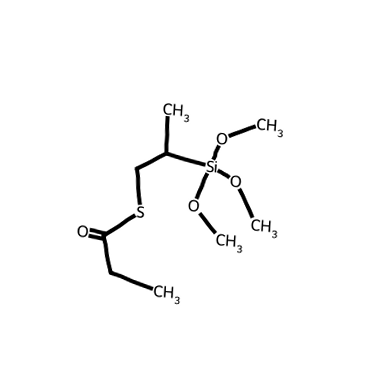 CCC(=O)SCC(C)[Si](OC)(OC)OC